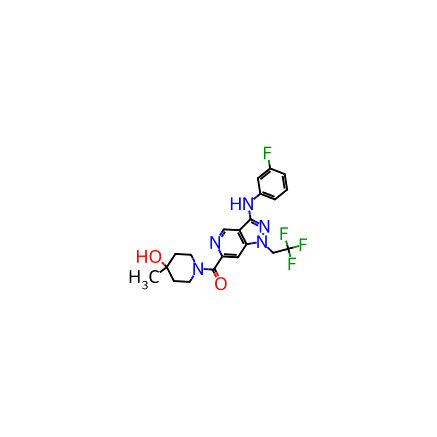 CC1(O)CCN(C(=O)c2cc3c(cn2)c(Nc2cccc(F)c2)nn3CC(F)(F)F)CC1